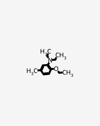 CCOc1ccc(C)cc1N(CC)CC